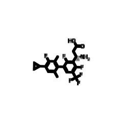 Cc1cc(C2CC2)c(F)c(C)c1-c1cc(C(F)(F)F)c(F)c([C@@H](N)CC(=O)O)c1F